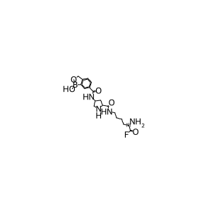 N[C@@H](CCCCNC(=O)C1CC(NC(=O)c2ccc3c(c2)B(O)OC3)CN1)C(=O)F